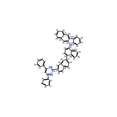 c1ccc(-c2cc(-c3ccccc3)nc(-c3ccc4ccc(-c5ccc(-n6c7ccccc7c7cc8ccccc8cc76)c6ccccc56)cc4c3)n2)cc1